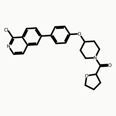 O=C(C1CCCO1)N1CCC(Oc2ccc(-c3ccc4c(Cl)nccc4c3)cc2)CC1